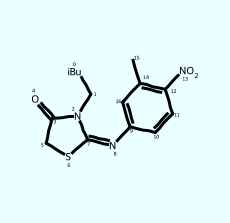 CCC(C)CN1C(=O)CSC1=Nc1ccc([N+](=O)[O-])c(C)c1